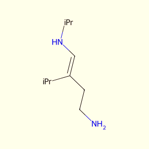 CC(C)N/C=C(/CCN)C(C)C